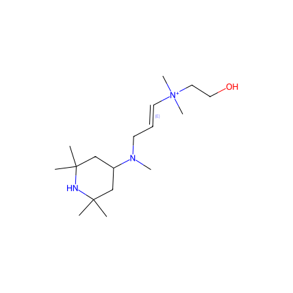 CN(C/C=C/[N+](C)(C)CCO)C1CC(C)(C)NC(C)(C)C1